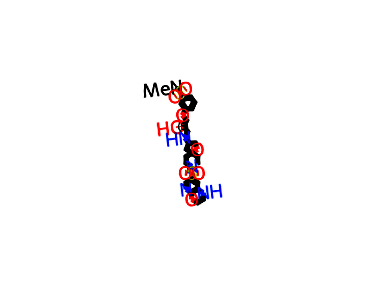 CNS(=O)(=O)c1cccc(OC[C@@H](O)CNC2COC3(CCN(S(=O)(=O)c4cnc5c(c4)NCCO5)CC3)C2)c1